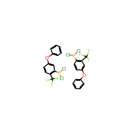 FC(F)(F)c1cc(Oc2ccccc2)ccc1P(Cl)Cl.FC(F)(F)c1ccc(Oc2ccccc2)cc1P(Cl)Cl